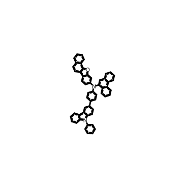 c1ccc(-n2c3ccccc3c3cc(-c4ccc(N(c5ccc6c(c5)oc5c7ccccc7ccc65)c5cc6ccccc6c6ccccc56)cc4)ccc32)cc1